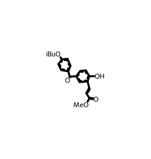 COC(=O)/C=C/c1cc(C(=O)c2ccc(OCC(C)C)cc2)ccc1O